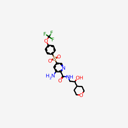 Nc1cc(S(=O)(=O)c2ccc(OC(F)(F)F)cc2)cnc1C(=O)NCC(O)C1CCOCC1